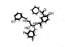 CCc1cccc(CNC[C@H](O)[C@H](Cc2cc(F)cc(F)c2)NC(=O)c2ccc(O)c(C(=O)N3CCCCC3)c2)c1